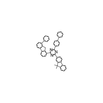 CC1(C)c2ccccc2-c2ccc(-c3nc(-c4ccc(-c5ccccc5)cc4)nc(-c4cccc5c4Cc4c(-c6ccccc6)cccc4-5)n3)cc21